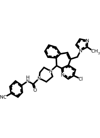 Cc1nccn1CC1=Cc2ccccc2C(N2CCN(C(=O)Nc3ccc(C#N)cc3)CC2)c2ncc(Cl)cc21